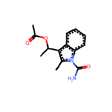 CC(=O)OC(C)c1c(C)n(C(N)=O)c2ccccc12